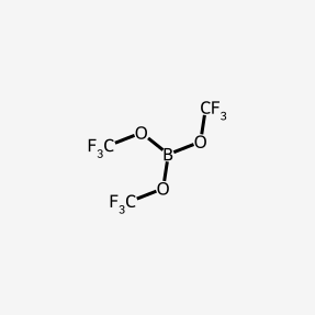 FC(F)(F)OB(OC(F)(F)F)OC(F)(F)F